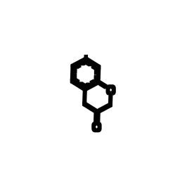 O=C1COc2c[c]ccc2C1